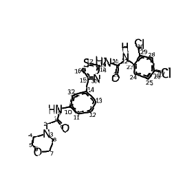 O=C(CN1CCOCC1)Nc1cccc(-c2csc(NC(=O)Nc3ccc(Cl)cc3Cl)n2)c1